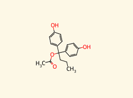 CCCC(OC(C)=O)(c1ccc(O)cc1)c1ccc(O)cc1